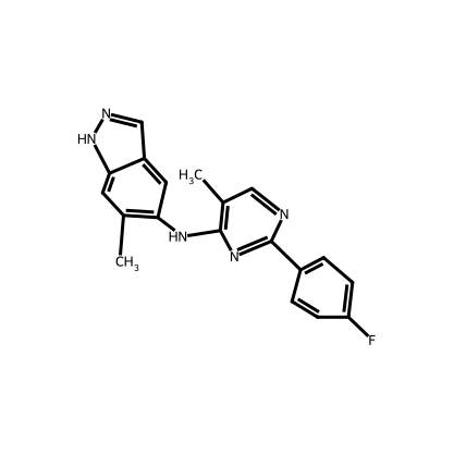 Cc1cc2[nH]ncc2cc1Nc1nc(-c2ccc(F)cc2)ncc1C